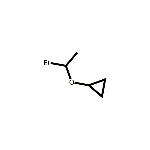 CCC(C)OC1CC1